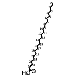 CCCCCCCCCCCCCCCCCCCCCCCC=CC(=O)O